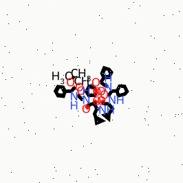 CC(C)(C)OC(=O)C(NC(=O)CNC(=O)C(=O)C(CC1CC1)NC(=O)C(CC1CC1)NC(=O)C(NC(=O)C(OC1CCCCO1)c1ccccc1)C1CCCCC1)c1ccccc1